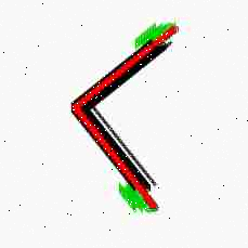 Cl.Cl.Cl.Cl.Cl.Cl.Cl.Cl.Cl.Cl.Cl.Cl.Cl.Cl.Cl.Cl.Cl.Cl.Cl.Cl.Cl.Cl.Cl.Cl.[Na+].[Na+].[Na+].[Na+].[Na+].[Na+].[Na+].[Na+].[Na+].[Na+].[Na+].[Na+].[Na+].[Na+].[Na+].[Na+].[Na+].[Na+].[Na+].[Na+].[Na+].[Na+].[Na+].[Na+].[Na+].[Na+].[Na+].[Na+].[Na+].[Na+].[Na+].[Na+].[Na+].[Na+].[Na+].[Na+].[Na+].[Na+].[Na+].[Na+].[Na+].[Na+].[Na+].[Na+].[Na+].[Na+].[Na+].[Na+].[Na+].[Na+].[Na+].[Na+].[Na+].[Na+].[Na+].[Na+].[Na+].[Na+].[Na+].[Na+].[Na+].[Na+].[Na+].[Na+].[Na+].[Na+].[Na+].[Na+].[Na+].[Na+].[Na+].[Na+].[Na+].[Na+].[Na+].[Na+].[Na+].[Na+].[Na+].[Na+].[Na+].[Na+].[Na+].[Na+].[Na+].[Na+].[Na+].[Na+].[Na+].[Na+].[Na+]